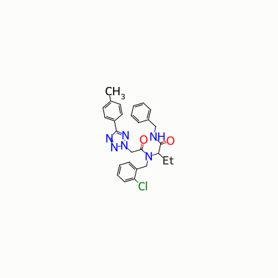 CCC(C(=O)NCc1ccccc1)N(Cc1ccccc1Cl)C(=O)Cn1nnc(-c2ccc(C)cc2)n1